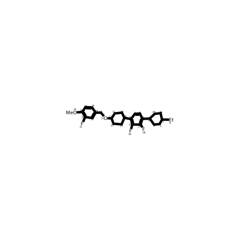 CCC1CCC(c2ccc(C3CCC(OCc4ccc(OC)c(F)c4)CC3)c(F)c2F)CC1